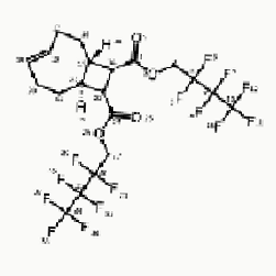 O=C(OCC(F)(F)C(F)(F)C(F)(F)F)[C@@H]1[C@H]2CC/C=C/CC[C@@H]2[C@@H]1C(=O)OCC(F)(F)C(F)(F)C(F)(F)F